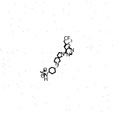 CS(=O)(=O)N[C@H]1CC[C@H](CN2CCC3(CCN(c4ncnc5sc(CC(F)(F)F)cc45)C3)C2)CC1